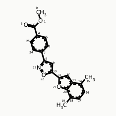 COC(=O)c1ccc(-c2cc(-c3cc4c(C)ccc(C)c4o3)on2)cc1